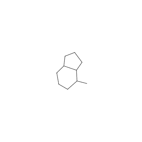 CC1CCCC2CCCC12